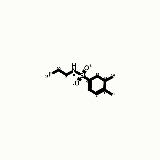 CC1=CC=C(S(=O)(=O)NCCF)CC1C